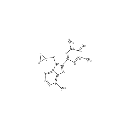 CSc1cccc2c1cc(-c1cc(C)c(=O)n(C)c1)n2CC1CC1